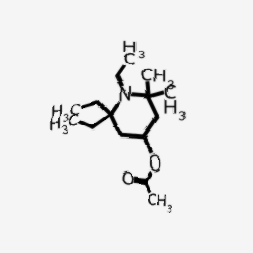 CCN1C(C)(C)CC(OC(C)=O)CC1(CC)CC